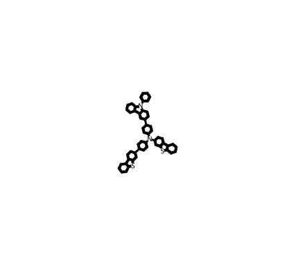 c1ccc(-n2c3ccccc3c3cc(-c4ccc(N(c5ccc(-c6ccc7c(c6)sc6ccccc67)cc5)c5ccc6c(c5)sc5ccccc56)cc4)ccc32)cc1